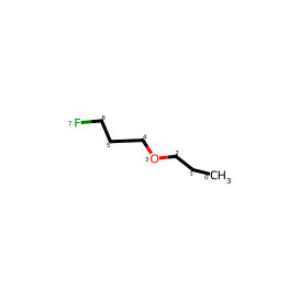 CCCOCCCF